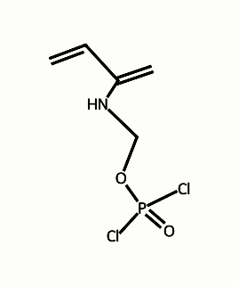 C=CC(=C)NCOP(=O)(Cl)Cl